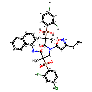 CC(C)(C)Cc1cc(N(CC(C)(C(=O)Nc2cccc3ccccc23)S(=O)(=O)c2ccc(Cl)cc2F)C(=O)C(C)(C)S(=O)(=O)c2ccc(Cl)cc2F)on1